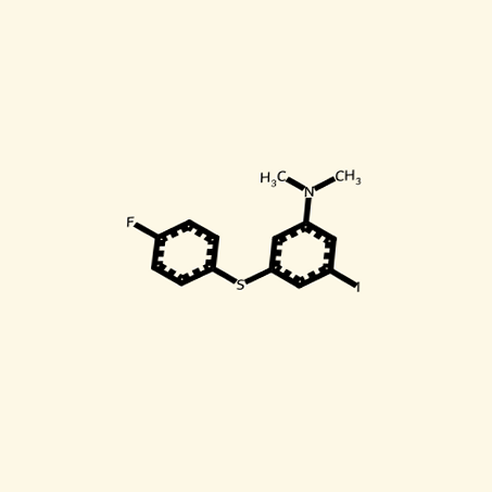 CN(C)c1cc(I)cc(Sc2ccc(F)cc2)c1